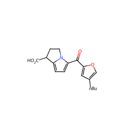 CCCCc1coc(C(=O)c2ccc3n2CCC3C(=O)O)c1